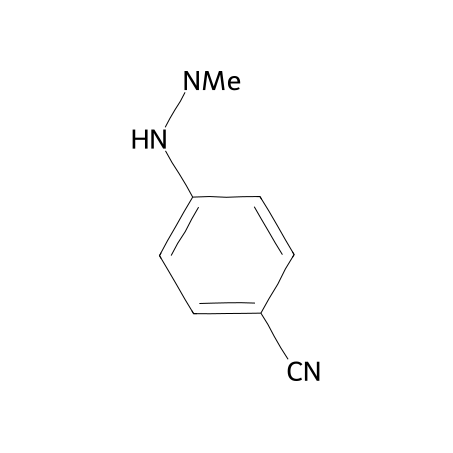 CNNc1ccc(C#N)cc1